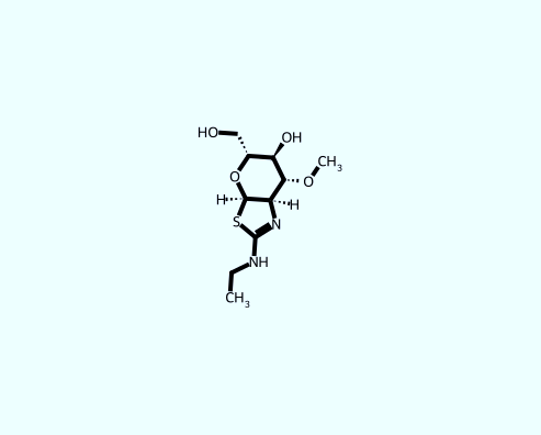 CCNC1=N[C@@H]2[C@@H](OC)[C@H](O)[C@@H](CO)O[C@@H]2S1